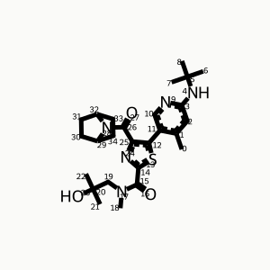 Cc1cc(NC(C)(C)C)ncc1-c1sc(C(=O)N(C)CC(C)(C)O)nc1C(=O)N1C2CCC1CC2